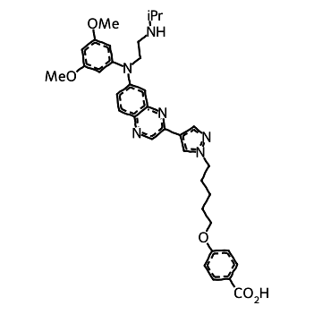 COc1cc(OC)cc(N(CCNC(C)C)c2ccc3ncc(-c4cnn(CCCCCOc5ccc(C(=O)O)cc5)c4)nc3c2)c1